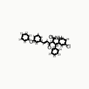 O=C(C=Cc1cccc(Oc2ccccc2)c1)c1c(-c2ccccc2)c2cc(Cl)ccc2[nH]c1=O